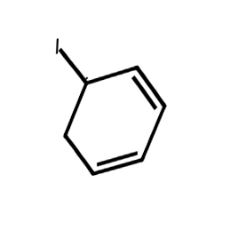 I[C]1C=CC=CC1